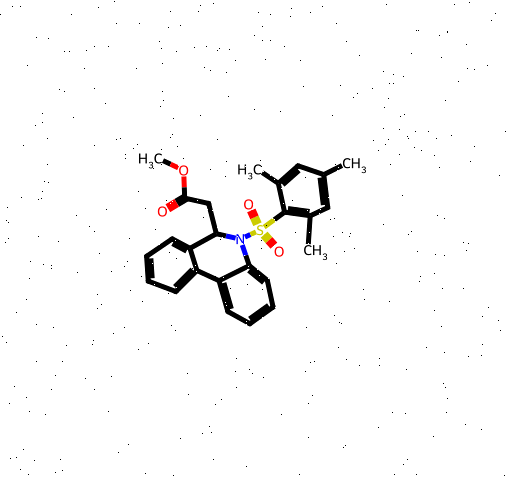 COC(=O)CC1c2ccccc2-c2ccccc2N1S(=O)(=O)c1c(C)cc(C)cc1C